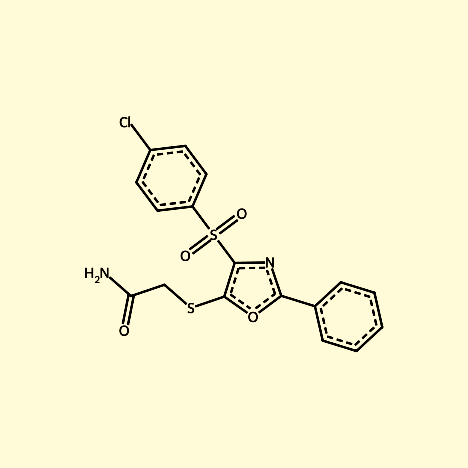 NC(=O)CSc1oc(-c2ccccc2)nc1S(=O)(=O)c1ccc(Cl)cc1